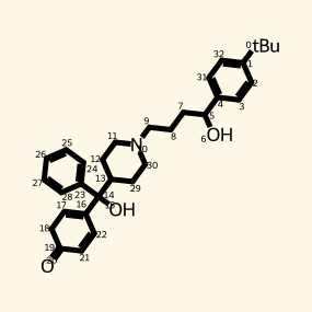 CC(C)(C)c1ccc(C(O)CCCN2CCC(C(O)(C3=CCC(=O)C=C3)c3ccccc3)CC2)cc1